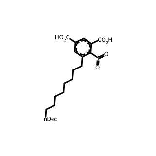 CCCCCCCCCCCCCCCCCCc1cc(C(=O)O)cc(C(=O)O)c1I(=O)=O